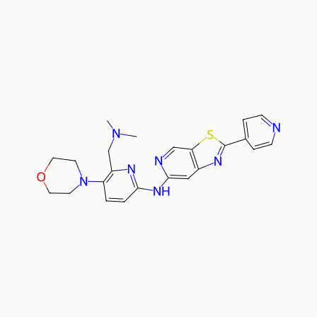 CN(C)Cc1nc(Nc2cc3nc(-c4ccncc4)sc3cn2)ccc1N1CCOCC1